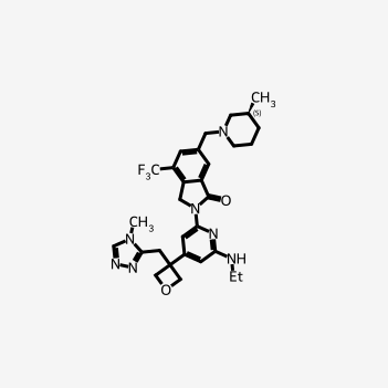 CCNc1cc(C2(Cc3nncn3C)COC2)cc(N2Cc3c(cc(CN4CCC[C@H](C)C4)cc3C(F)(F)F)C2=O)n1